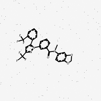 CN(C(=O)c1cccc(-n2nc(C(F)(F)F)cc2-c2ccccc2C(F)(F)F)c1)c1ccc2c(c1)OCO2